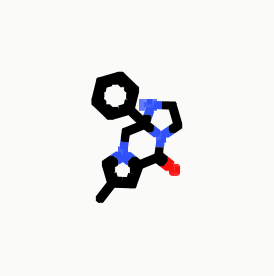 Cc1cc2n(c1)CC1(c3ccccc3)NCCN1C2=O